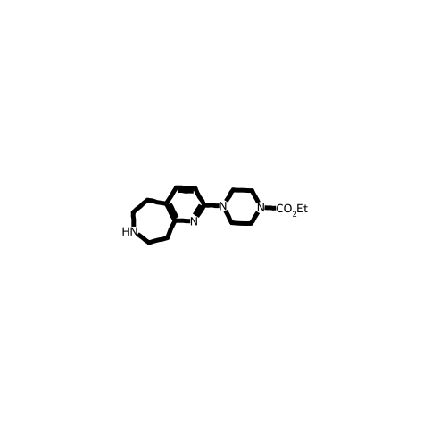 CCOC(=O)N1CCN(c2ccc3c(n2)CCNCC3)CC1